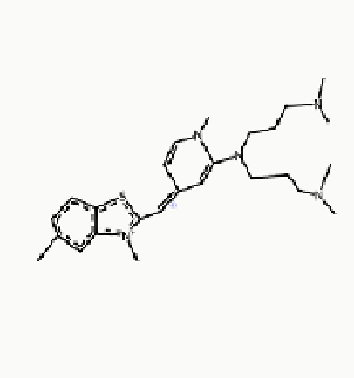 Cc1ccc2sc(/C=C3\C=CN(C)C(N(CCCN(C)C)CCCN(C)C)=C3)[n+](C)c2c1